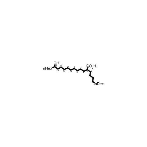 CCCCCCCCCCCCCCC(CCCCCCCCCC(O)CCCCCC)C(=O)O